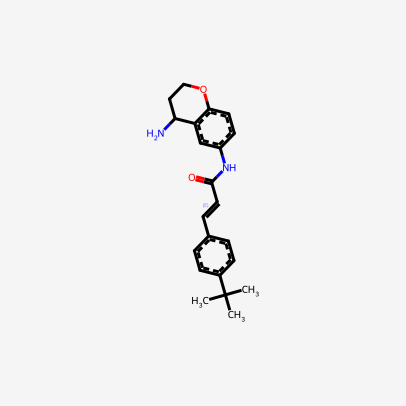 CC(C)(C)c1ccc(/C=C/C(=O)Nc2ccc3c(c2)C(N)CCO3)cc1